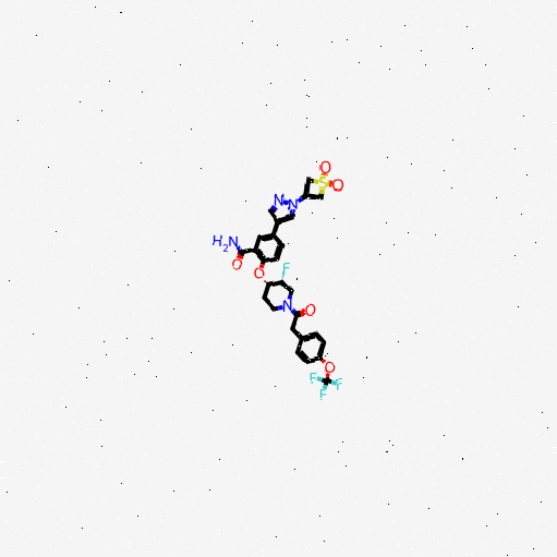 NC(=O)c1cc(-c2cnn(C3CS(=O)(=O)C3)c2)ccc1O[C@H]1CCN(C(=O)Cc2ccc(OC(F)(F)F)cc2)C[C@H]1F